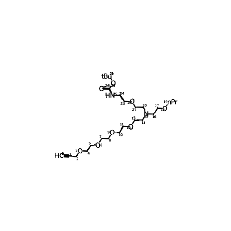 C#CCOCCOCCOCCOCCN(CCOCCC)CCOCCNC(=O)OC(C)(C)C